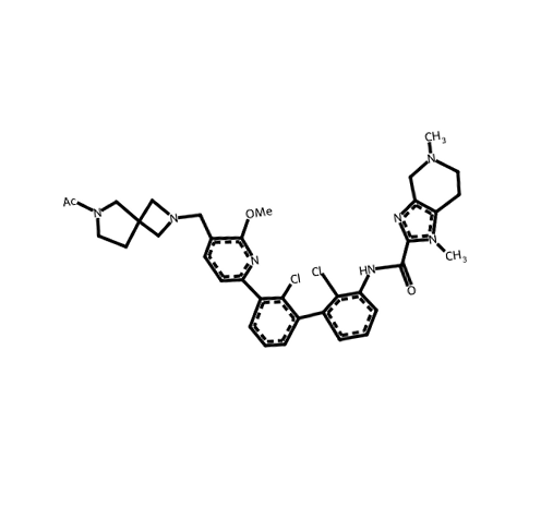 COc1nc(-c2cccc(-c3cccc(NC(=O)c4nc5c(n4C)CCN(C)C5)c3Cl)c2Cl)ccc1CN1CC2(CCN(C(C)=O)C2)C1